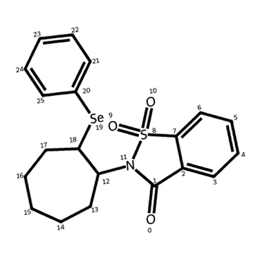 O=C1c2ccccc2S(=O)(=O)N1C1CCCCCC1[Se]c1ccccc1